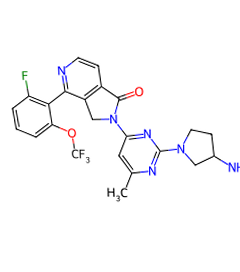 Cc1cc(N2Cc3c(ccnc3-c3c(F)cccc3OC(F)(F)F)C2=O)nc(N2CCC(N)C2)n1